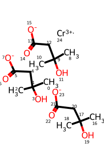 CC(C)(O)CC(=O)[O-].CC(C)(O)CC(=O)[O-].CC(C)(O)CC(=O)[O-].[Cr+3]